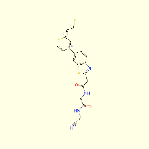 C=C/C(=C\C(F)=C/CF)c1ccc2nc(CC(=O)NCC(=O)NCC#N)sc2c1